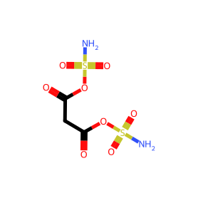 NS(=O)(=O)OC(=O)CC(=O)OS(N)(=O)=O